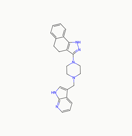 c1ccc2c(c1)CCc1c(N3CCN(Cc4c[nH]c5ncccc45)CC3)n[nH]c1-2